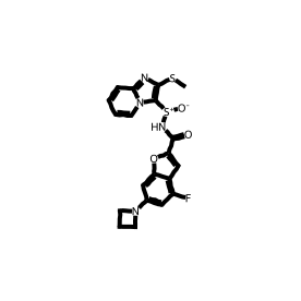 CSc1nc2ccccn2c1[S+]([O-])NC(=O)c1cc2c(F)cc(N3CCC3)cc2o1